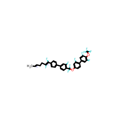 C/C=C/CC/C(F)=C(\F)c1ccc(-c2ccc(C(F)(F)Oc3ccc(-c4cc(F)c(OC(F)(F)F)c(F)c4)c(F)c3)c(F)c2)cc1